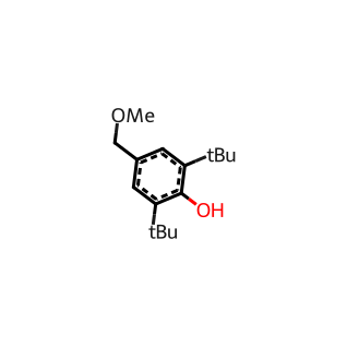 COCc1cc(C(C)(C)C)c(O)c(C(C)(C)C)c1